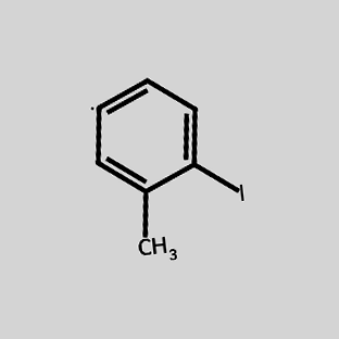 Cc1c[c]ccc1I